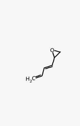 C=CC=CC1CO1